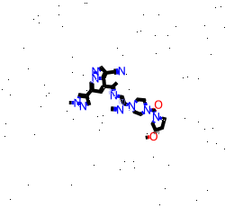 C=N/C(=C\N=C(/C)c1cc(-c2cnn(C)c2)cn2ncc(C#N)c12)N1CCN(C(=O)N2CC[C@H](OC)C2)CC1